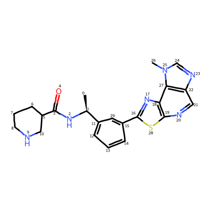 C[C@H](NC(=O)C1CCCNC1)c1cccc(-c2nc3c(ncc4ncn(C)c43)s2)c1